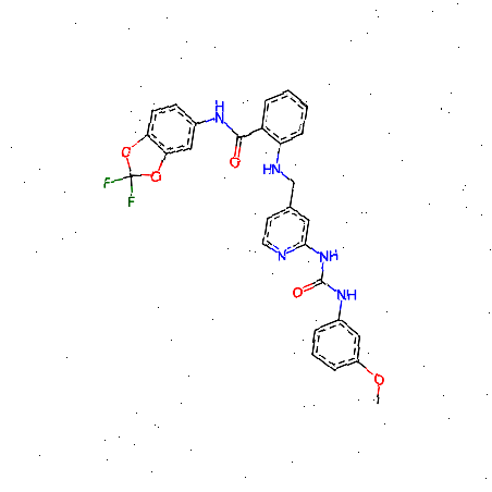 COc1cccc(NC(=O)Nc2cc(CNc3ccccc3C(=O)Nc3ccc4c(c3)OC(F)(F)O4)ccn2)c1